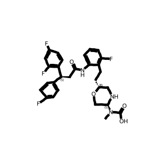 CN(C(=O)O)[C@H]1CO[C@H](CCc2c(F)cccc2NC(=O)C[C@@H](c2ccc(F)cc2)c2ccc(F)cc2F)CN1